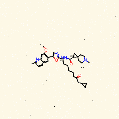 COc1cc2nc(C)ccc2cc1-c1cnc([C@H](CCCCCC(=O)CC2CC2)NC(=O)[C@H]2CC23CCN(C)CC3)o1